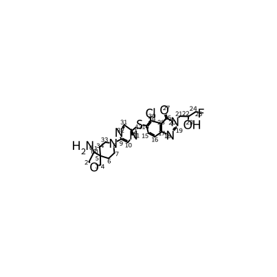 N[C@@H]1COCC12CCN(c1cnc(Sc3ccc4ncn(CC(O)CF)c(=O)c4c3Cl)cn1)CC2